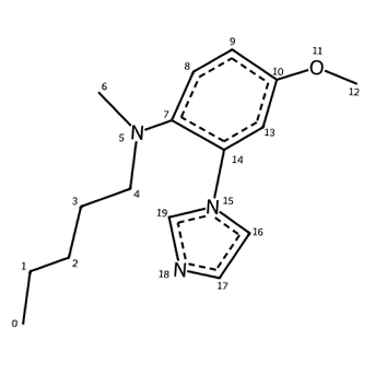 CCCCCN(C)c1ccc(OC)cc1-n1ccnc1